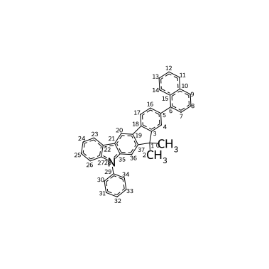 CC1(C)c2cc(-c3cccc4ccccc34)ccc2-c2cc3c4ccccc4n(-c4ccccc4)c3cc21